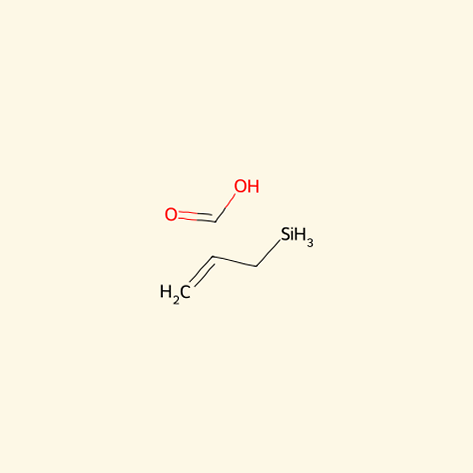 C=CC[SiH3].O=CO